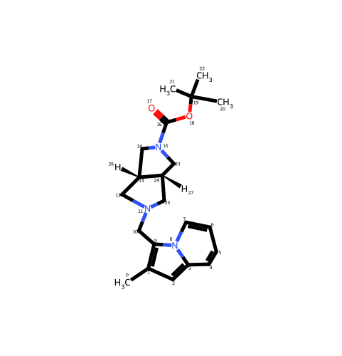 Cc1cc2ccccn2c1CN1C[C@@H]2CN(C(=O)OC(C)(C)C)C[C@@H]2C1